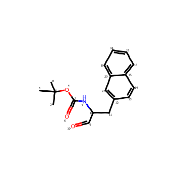 CC(C)(C)OC(=O)NC(C=O)Cc1ccc2ccccc2c1